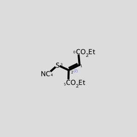 CCOC(=O)/C=C(\SC#N)C(=O)OCC